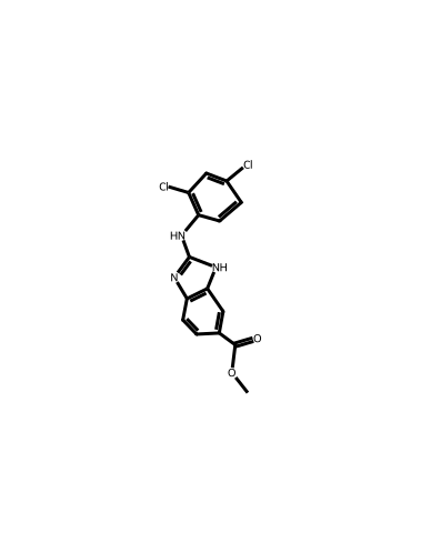 COC(=O)c1ccc2nc(Nc3ccc(Cl)cc3Cl)[nH]c2c1